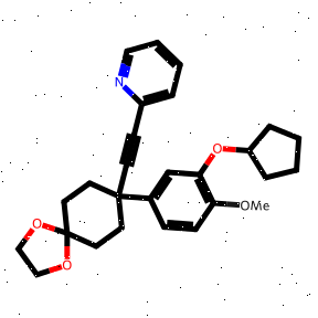 COc1ccc(C2(C#Cc3ccccn3)CCC3(CC2)OCCO3)cc1OC1CCCC1